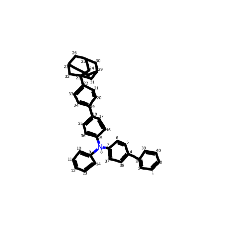 c1ccc(-c2ccc(N(c3ccccc3)c3ccc(-c4ccc(C56CC7CC(CC(C7)C5)C6)cc4)cc3)cc2)cc1